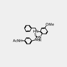 COc1ccc(NC(=S)Nc2ccc(NC(C)=O)cc2)c(NCc2ccccc2)c1